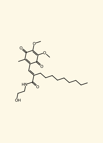 CCCCCCCCC/C(=C\C1=C(C)C(=O)C(OC)=C(OC)C1=O)C(=O)NCCO